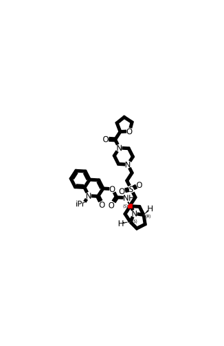 CC(C)n1c(=O)c(OC(=O)N[C@@H]2C[C@H]3CC[C@@H](C2)N3CCS(=O)(=O)CCN2CCN(C(=O)C3CCCO3)CC2)cc2ccccc21